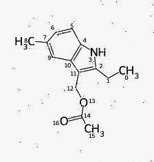 CCc1[nH]c2ccc(C)cc2c1COC(C)=O